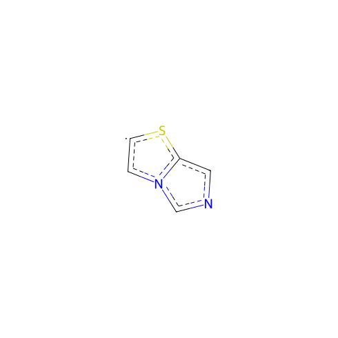 [c]1cn2cncc2s1